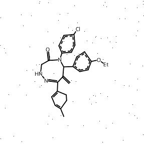 C=C1/C(C2=CC=C(C)CC2)=N\NCC(=O)N(c2ccc(Cl)cc2)C1c1ccc(OCC)cc1